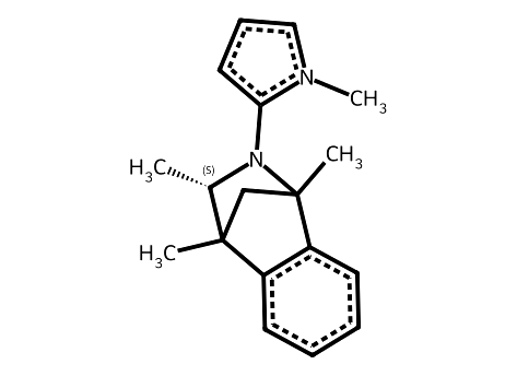 C[C@@H]1N(c2cccn2C)C2(C)CC1(C)c1ccccc12